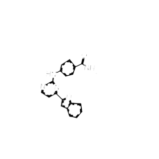 NC(=O)c1ccc(Nc2nccc(-c3cc4ccccc4o3)n2)cc1